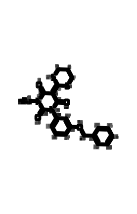 CCCCN1C(=O)C(=C2SCCCS2)C(=O)N(c2cccc(OCc3ccccc3)c2)C1=O